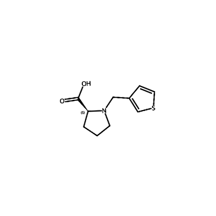 O=C(O)[C@@H]1CCCN1Cc1ccsc1